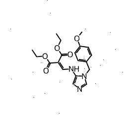 CCOC(=O)C(=CNc1cncn1Cc1ccc(OC)cc1)C(=O)OCC